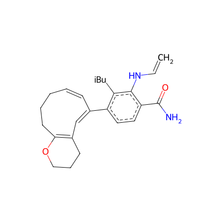 C=CNc1c(C(N)=O)ccc(C2=C\C3=C(CCC/C=C\2)OCCC3)c1C(C)CC